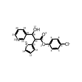 O=C(Oc1ccc(Cl)cc1)C(c1cccs1)C(O)c1cccnc1